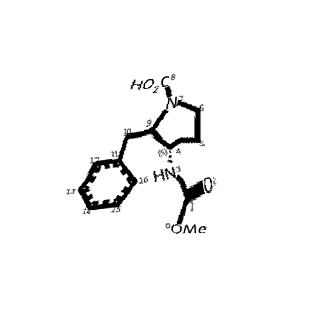 COC(=O)N[C@H]1CCN(C(=O)O)C1Cc1ccccc1